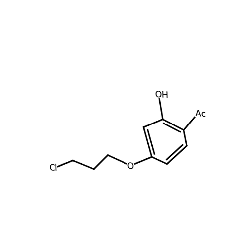 CC(=O)c1ccc(OCCCCl)cc1O